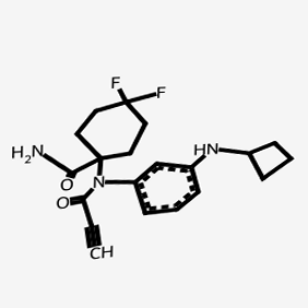 C#CC(=O)N(c1cccc(NC2CCC2)c1)C1(C(N)=O)CCC(F)(F)CC1